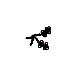 CCCCCCCCC1C(CCCCCC)CCC(CCCCCCCCn2c(=O)c3cc4c(=O)n(C(C)=O)c(=O)c4cc3c2=O)C1CCCCCCCCn1c(=O)c2cc3c(=O)n(C(C)=O)c(=O)c3cc2c1=O